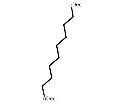 CCCCCCCCC[CH]CCCCCCCCCCCCCCCCCC